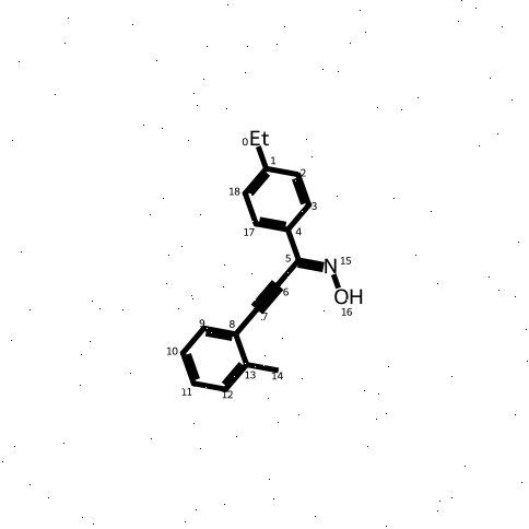 CCc1ccc(C(C#Cc2ccccc2C)=NO)cc1